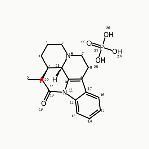 CC[C@]12CCCN3CCc4c(n(c5ccccc45)C(=O)C1)[C@@H]32.O=P(O)(O)O